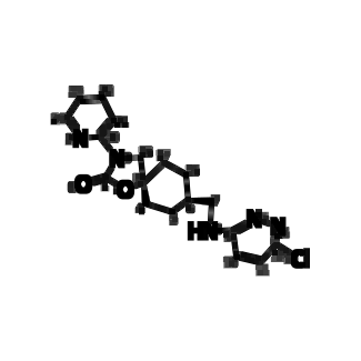 O=C1O[C@]2(CC[C@H](CNc3ccc(Cl)nn3)CC2)CN1c1ccccn1